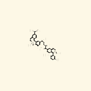 Cc1ccc(C(C)(C)C)cc1-c1c2ccc(C(C(C)C)C(C)CCC(C)c3cc(-c4c5ccc(C(C(C)C)C(C)C)cc5cc[n+]4C)c(C)c(C(C)C)c3)cc2cc[n+]1C